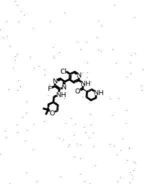 CC1(C)CC(CNc2nc(-c3cc(NC(=O)[C@@H]4CCCNC4)ncc3Cl)cnc2F)CCO1